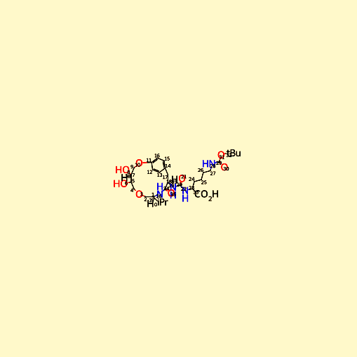 CC(C)[C@H]1COCC(O)[C@@H](O)COc2ccc(cc2)C[C@@H](NC(=O)NC(CCCCNC(=O)OC(C)(C)C)C(=O)O)C(=O)N1